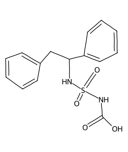 O=C(O)NS(=O)(=O)NC(Cc1ccccc1)c1ccccc1